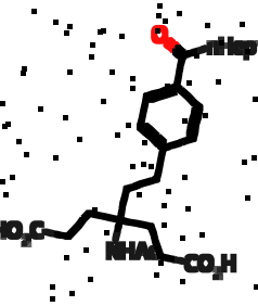 CCCCCCCC(=O)c1ccc(CCC(CCC(=O)O)(CCC(=O)O)NC(C)=O)cc1